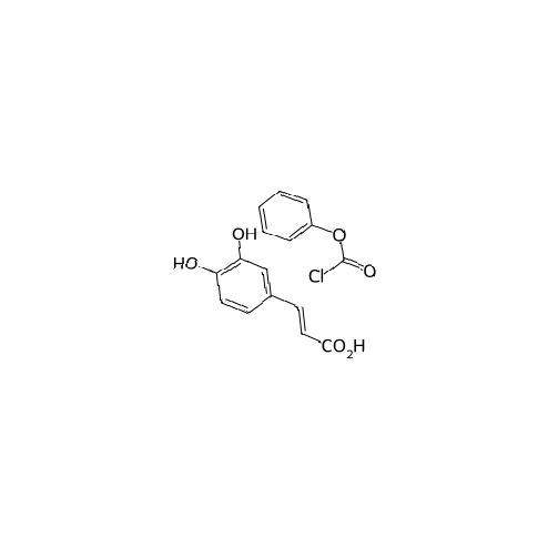 O=C(Cl)Oc1ccccc1.O=C(O)/C=C/c1ccc(O)c(O)c1